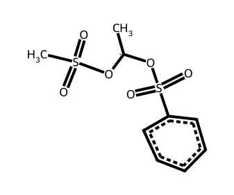 C[C](OS(C)(=O)=O)OS(=O)(=O)c1ccccc1